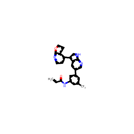 C=CC(=O)Nc1cc(-c2cnc3[nH]cc(-c4ccnc5occc45)c3c2)cc(C(F)(F)F)c1